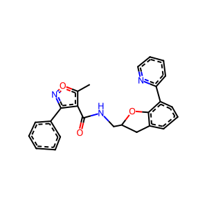 Cc1onc(-c2ccccc2)c1C(=O)NCC1Cc2cccc(-c3ccccn3)c2O1